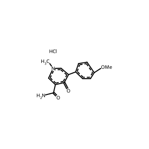 COc1ccc(-c2cn(C)cc(C(N)=O)c2=O)cc1.Cl